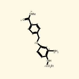 CCOC(=O)Nc1ccc(OCc2ccc(C(=O)OC)cc2)cc1N